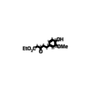 CCOC(=O)CC(=O)CCc1ccc(O)c(OC)c1